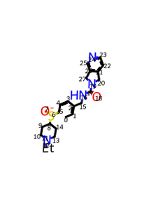 C/C=C(\C=C/C[S+]([O-])C1CCN(CC)CC1)CNC(=O)N1Cc2ccncc2C1